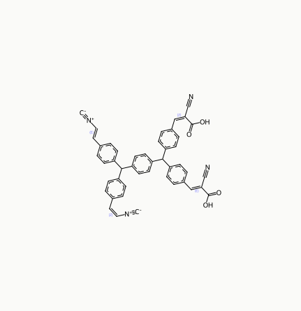 [C-]#[N+]/C=C\c1ccc(C(c2ccc(/C=C/[N+]#[C-])cc2)c2ccc(C(c3ccc(/C=C(/C#N)C(=O)O)cc3)c3ccc(/C=C(\C#N)C(=O)O)cc3)cc2)cc1